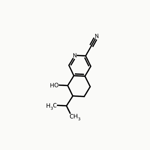 CC(C)C1CCc2cc(C#N)ncc2C1O